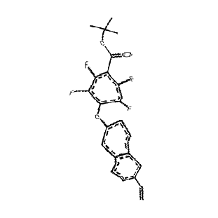 C=Cc1ccc2cc(Oc3c(F)c(F)c(C(=O)OC(C)(C)C)c(F)c3F)ccc2c1